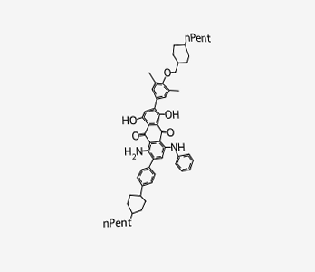 CCCCCC1CCC(COc2c(C)cc(-c3cc(O)c4c(c3O)C(=O)c3c(Nc5ccccc5)cc(-c5ccc(C6CCC(CCCCC)CC6)cc5)c(N)c3C4=O)cc2C)CC1